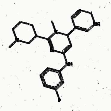 CN1CCCC(C2=NC(Nc3cccc(F)c3)=CC(C3=CNCC=C3)N2C)C1